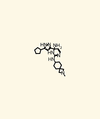 CN1CC2(CCC(NC3=NC=CC(N)(c4cc(C5CCCC5)[nH]n4)N3)CC2)C1